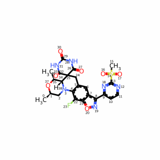 C[C@@H]1CN2c3c(cc4c(-c5ccnc(S(C)(=O)=O)n5)noc4c3F)CC3(C(=O)NC(=O)NC3=O)[C@H]2[C@H](C)O1